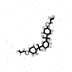 C=CCOC1CCC(C(C)(C)C2CCCC(C(C)(C)C3CCC(OCC=C)CC3)C2)CC1